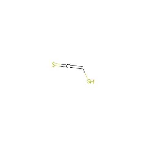 S=C=CS